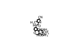 Cc1cc(C#N)cnc1C(=O)Nc1ccc2c(c1)[C@@]1(C)N=C(N)C(C)(C)S(O)(O)[C@]1(F)CCO2